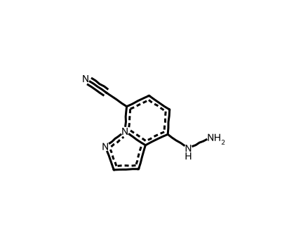 N#Cc1ccc(NN)c2ccnn12